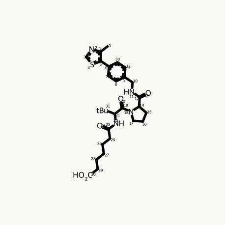 Cc1ncsc1-c1ccc(CNC(=O)C2CCCN2C(=O)C(NC(=O)CCCCCC(=O)O)C(C)(C)C)cc1